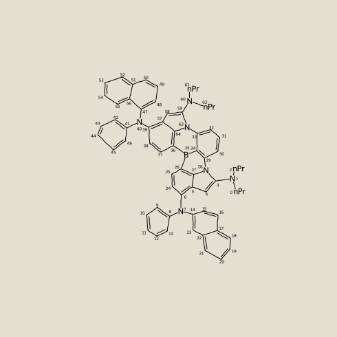 CCCN(CCC)c1cc2c(N(c3ccccc3)c3ccc4ccccc4c3)ccc3c2n1-c1cccc2c1B3c1ccc(N(c3ccccc3)c3cccc4ccccc34)c3cc(N(CCC)CCC)n-2c13